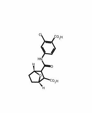 O=C(O)c1ccc(NC(=O)C2C(C(=O)O)[C@@H]3CC[C@H]2O3)cc1Cl